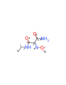 CCNC(=O)C(=NOC)C(N)=O